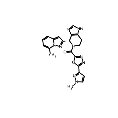 Cc1cccc2cc([C@@H]3c4nc[nH]c4CCN3C(=O)c3nnc(-c4ccn(C)n4)o3)nn12